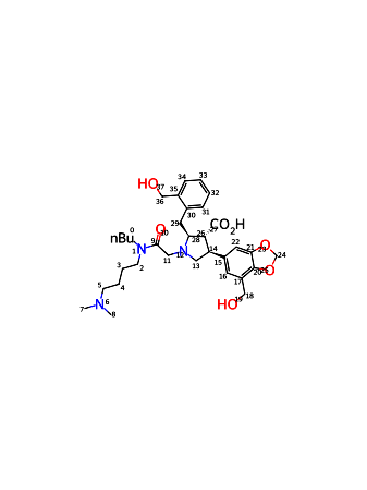 CCCCN(CCCCN(C)C)C(=O)CN1C[C@H](c2cc(CO)c3c(c2)OCO3)[C@@H](C(=O)O)[C@@H]1Cc1ccccc1CO